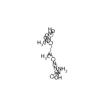 CN(CCCCc1ccc2c(c1)n(C)c(=O)n2C1CCC(=O)NC1=O)Cc1ccc(N2CCN(c3cc(-c4ccccc4O)nnc3N)CC2)cc1